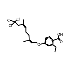 CCc1cc(OCC=C(C)CCC=C(C)CC(Cl)(Cl)Cl)ccc1C(=O)O